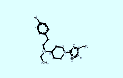 CCN(CCc1ccc(Br)cc1)C1CCN(c2nc(N)n[nH]2)CC1